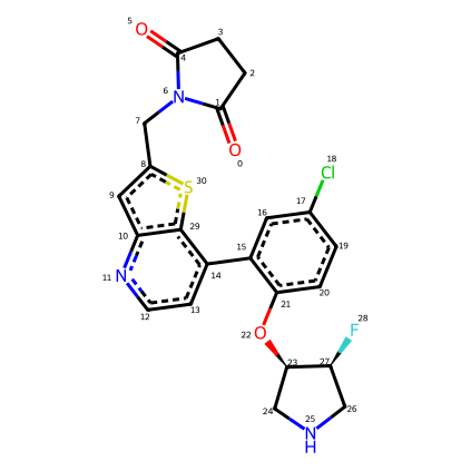 O=C1CCC(=O)N1Cc1cc2nccc(-c3cc(Cl)ccc3O[C@@H]3CNC[C@@H]3F)c2s1